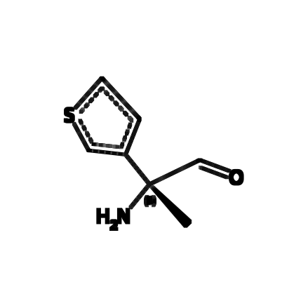 C[C@](N)(C=O)c1ccsc1